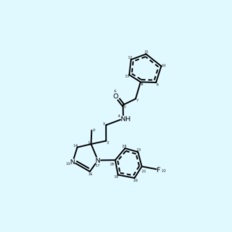 CC1(CCNC(=O)Cc2ccccc2)CN=CN1c1ccc(F)cc1